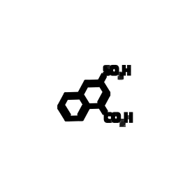 O=C(O)c1cc(S(=O)(=O)O)cc2ccccc12